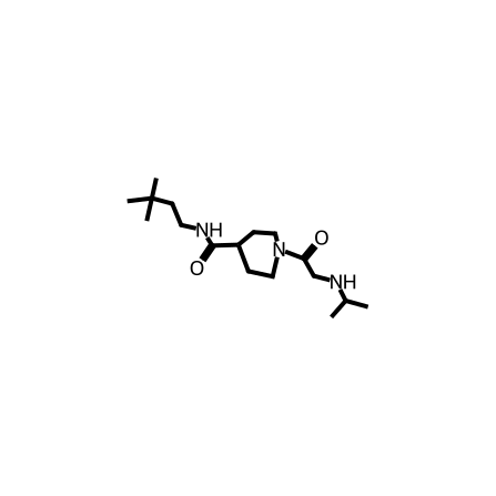 CC(C)NCC(=O)N1CCC(C(=O)NCCC(C)(C)C)CC1